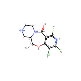 CC(C)(C)[C@H]1Oc2c(Cl)c(Cl)nc(F)c2C(=O)N2CCNCC12